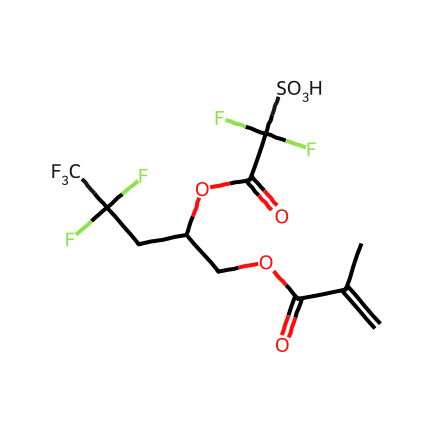 C=C(C)C(=O)OCC(CC(F)(F)C(F)(F)F)OC(=O)C(F)(F)S(=O)(=O)O